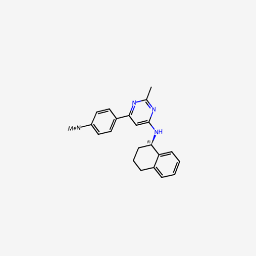 CNc1ccc(-c2cc(N[C@@H]3CCCc4ccccc43)nc(C)n2)cc1